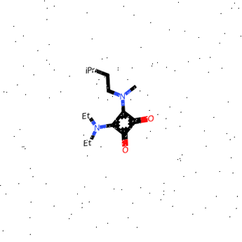 CCN(CC)c1c(N(C)CCC(C)C)c(=O)c1=O